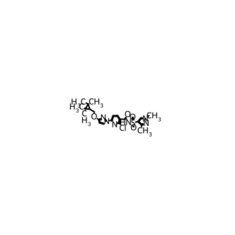 Cc1nn(C)cc1S(=O)(=O)NC(=O)c1ccc(-n2ccc(OCC3C(C)(C)C3(C)C)n2)nc1Cl